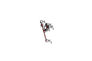 CCCCCCCCCCCCCCC(CCCCCCCCCCCCCC)OC(=O)NCCCON(C)COC(C)(C)C